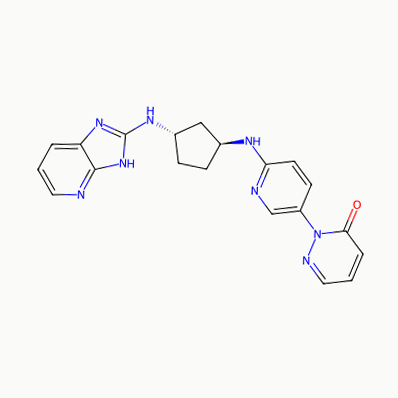 O=c1cccnn1-c1ccc(N[C@H]2CC[C@H](Nc3nc4cccnc4[nH]3)C2)nc1